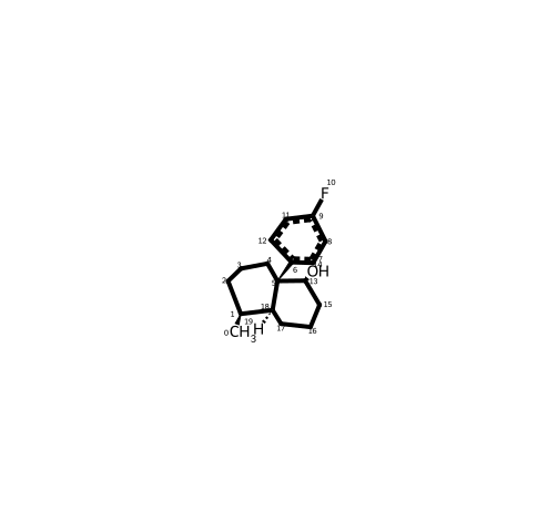 C[C@H]1CCC[C@]2(c3ccc(F)cc3)[C@@H](O)CCC[C@@H]12